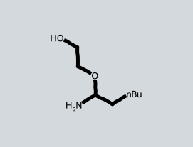 CCCCCC(N)OCCO